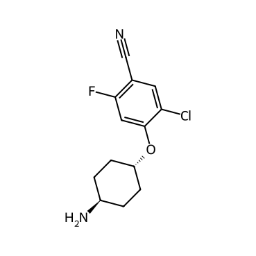 N#Cc1cc(Cl)c(O[C@H]2CC[C@H](N)CC2)cc1F